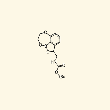 CC(C)(C)OC(=O)NC[C@H]1OB2OCCOc3cccc1c32